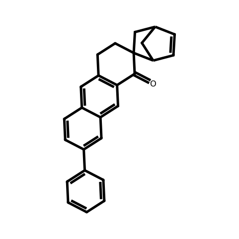 O=C1c2cc3cc(-c4ccccc4)ccc3cc2CCC12CC1C=CC2C1